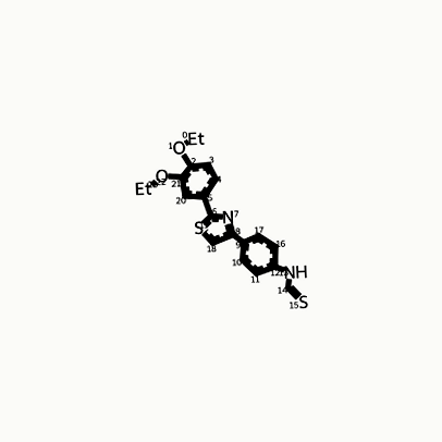 CCOc1ccc(-c2nc(-c3ccc(NC=S)cc3)cs2)cc1OCC